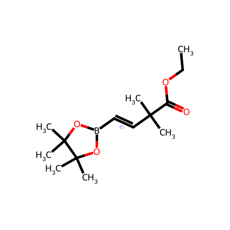 CCOC(=O)C(C)(C)/C=C/B1OC(C)(C)C(C)(C)O1